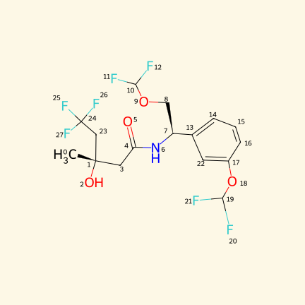 C[C@](O)(CC(=O)N[C@@H](COC(F)F)c1cccc(OC(F)F)c1)CC(F)(F)F